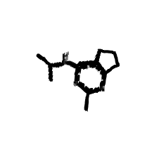 Cc1nc2c(c(NC(C)C)n1)CCC2